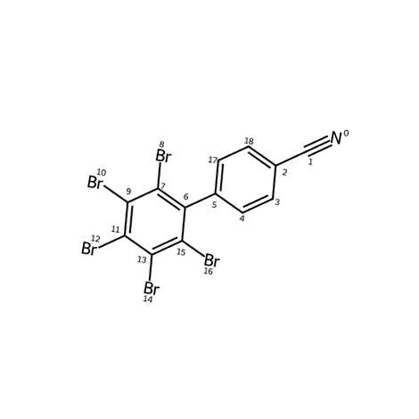 N#Cc1ccc(-c2c(Br)c(Br)c(Br)c(Br)c2Br)cc1